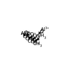 CCC[O-].CCC[O-].CCC[O-].CC[O-].CC[O-].CC[O-].[Al+3].[Al+3]